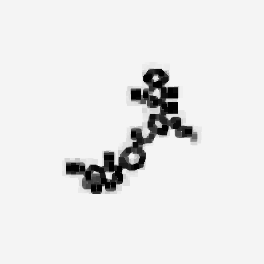 COc1cc(CC(=O)N2CCCN(C(=O)NC(CC(=O)O)C(=O)O)CC2)ccc1NC(=O)Nc1ccccc1C